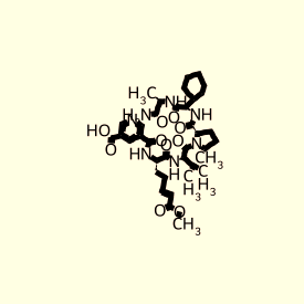 COC(=O)/C=C/CC[C@H](NC(=O)c1cncc(C(=O)O)c1)C(=O)N[C@H](C(=O)N1CCC[C@H]1C(=O)N[C@H](C(=O)N[C@@H](C)C(N)=O)C1CCCCC1)C(C)(C)C